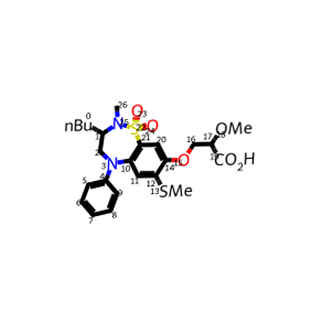 CCCCC1CN(c2ccccc2)c2cc(SC)c(OCC(OC)C(=O)O)cc2S(=O)(=O)N1C